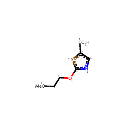 COCCOc1ncc(C(=O)O)s1